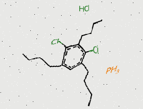 CCCCc1cc(CCCC)c(Cl)c(CCCC)c1Cl.Cl.P